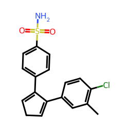 Cc1cc(C2=CCC=C2c2ccc(S(N)(=O)=O)cc2)ccc1Cl